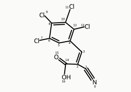 N#CC(=Cc1cc(Cl)c(Cl)c(Cl)c1Cl)C(=O)O